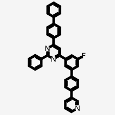 Fc1cc(-c2ccc(-c3cccnc3)cc2)cc(-c2cc(-c3ccc(-c4ccccc4)cc3)nc(-c3ccccc3)n2)c1